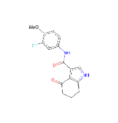 COc1ccc(NC(=O)c2c[nH]c3c2C(=O)CCC3)cc1F